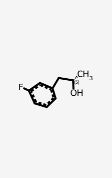 C[C@H](O)Cc1cccc(F)c1